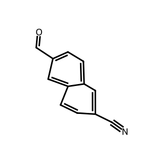 N#Cc1ccc2cc(C=O)ccc2c1